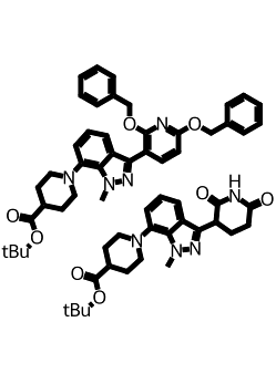 Cn1nc(-c2ccc(OCc3ccccc3)nc2OCc2ccccc2)c2cccc(N3CCC(C(=O)OC(C)(C)C)CC3)c21.Cn1nc(C2CCC(=O)NC2=O)c2cccc(N3CCC(C(=O)OC(C)(C)C)CC3)c21